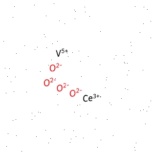 [Ce+3].[O-2].[O-2].[O-2].[O-2].[V+5]